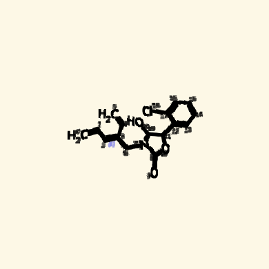 C=C/C=C(\C=C)CN1C(=O)OC(c2ccccc2Cl)C1O